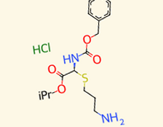 CC(C)OC(=O)[C@@H](NC(=O)OCc1ccccc1)SCCCN.Cl